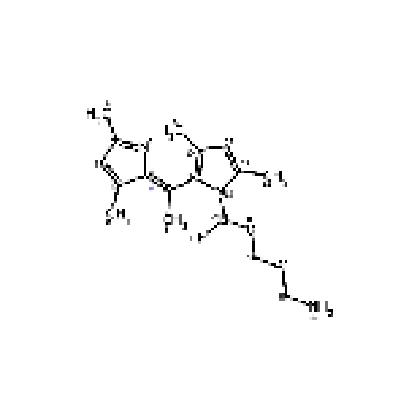 CC1=CC(C)=N/C1=C(/C)c1c(C)cc(C)n1B(F)OCCCN